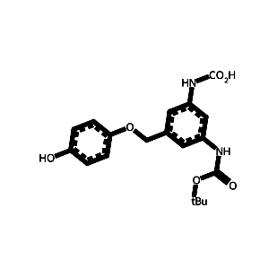 CC(C)(C)OC(=O)Nc1cc(COc2ccc(O)cc2)cc(NC(=O)O)c1